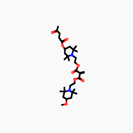 C=C(C(=O)OCCN1C(C)(C)CC(OC)CC1(C)C)C(=O)OCCN1C(C)(C)CC(OC(=O)CCC(C)=O)CC1(C)C